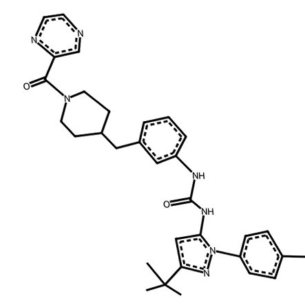 Cc1ccc(-n2nc(C(C)(C)C)cc2NC(=O)Nc2cccc(CC3CCN(C(=O)c4cnccn4)CC3)c2)cc1